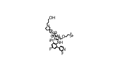 CC(C)c1cc(F)cc(-c2ccnc(F)c2)c1Nc1nc(S(=O)(=O)N2CC3(CCN(CCCO)C3)C2)nn1COCC[Si](C)(C)C